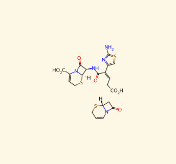 Nc1nc(/C(=C/CC(=O)O)C(=O)N[C@@H]2C(=O)N3C(C(=O)O)=CCS[C@H]23)cs1.O=C1C[C@H]2SCC=CN12